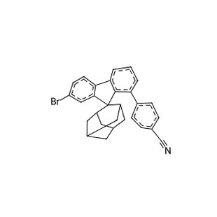 N#Cc1ccc(-c2cccc3c2C2(c4cc(Br)ccc4-3)C3CC4CC(C3)CC2C4)cc1